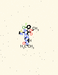 CCOC(=O)C1=C(CN2CCN3C(=O)N(C(C)C)C[C@H]3C2)NC(c2nccs2)=N[C@H]1c1cccc(F)c1Cl